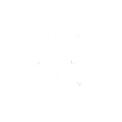 Nc1nc(C(=O)C(=O)O)c(Br)s1